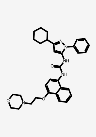 O=C(Nc1ccc(OCCN2CCOCC2)c2ccccc12)Nc1cc(C2CCCCC2)nn1-c1ccccc1